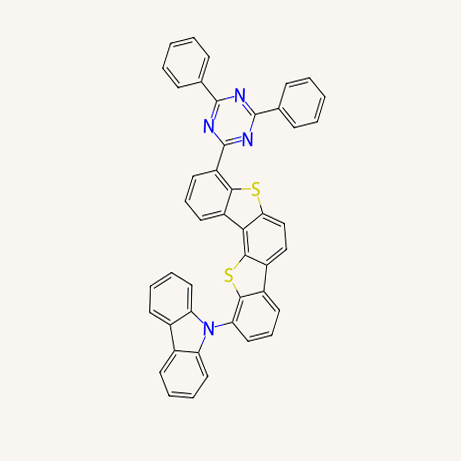 c1ccc(-c2nc(-c3ccccc3)nc(-c3cccc4c3sc3ccc5c6cccc(-n7c8ccccc8c8ccccc87)c6sc5c34)n2)cc1